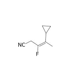 C/C(=C(\F)CC#N)C1CC1